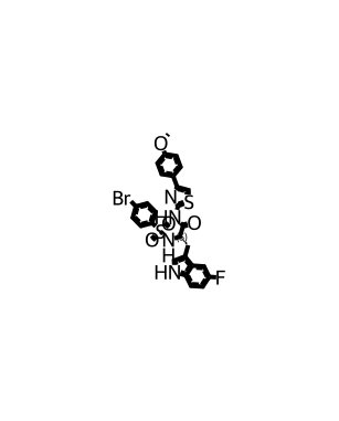 COc1ccc(-c2csc(NC(=O)[C@H](Cc3c[nH]c4ccc(F)cc34)NS(=O)(=O)c3ccc(Br)cc3)n2)cc1